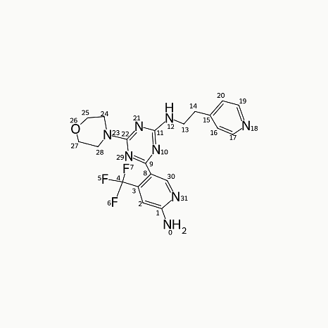 Nc1cc(C(F)(F)F)c(-c2nc(NCCc3ccncc3)nc(N3CCOCC3)n2)cn1